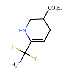 CCOC(=O)C1CC=C(C(C)(F)F)NC1